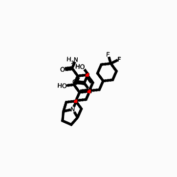 NC(=O)c1cccc(C2CC3CCC(C2)N3CCN(CC2CCC(F)(F)CC2)C(=O)CO)c1O